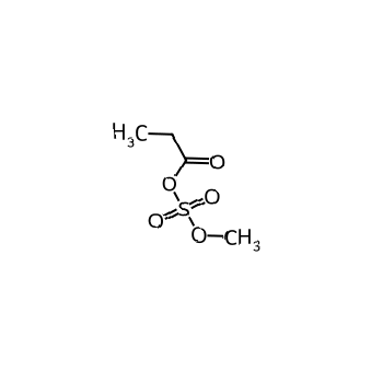 CCC(=O)OS(=O)(=O)OC